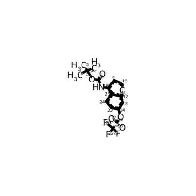 CC(C)(C)OC(=O)Nc1cccc2cc(OS(=O)(=O)C(F)(F)F)ccc12